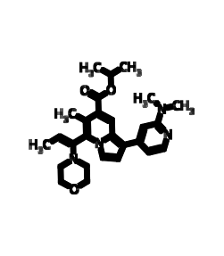 CC=C(c1c(C)c(C(=O)OC(C)C)cc2c(-c3ccnc(N(C)C)c3)ccn12)N1CCOCC1